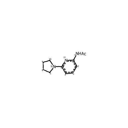 CC(=O)Nc1cccc(N2CCCC2)n1